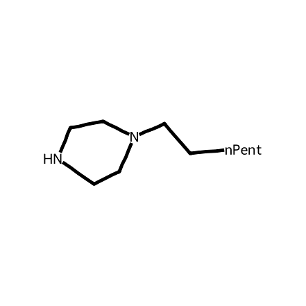 CCCCCCCN1CCNCC1